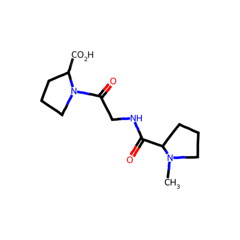 CN1CCCC1C(=O)NCC(=O)N1CCCC1C(=O)O